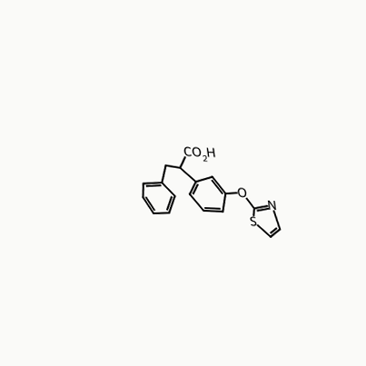 O=C(O)C(Cc1ccccc1)c1cccc(Oc2nccs2)c1